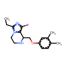 CCc1nc(I)c2n1CCNC2COc1ccc(C)c(C)c1